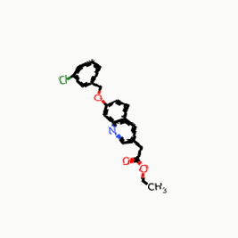 CCOC(=O)Cc1cnc2cc(OCc3cccc(Cl)c3)ccc2c1